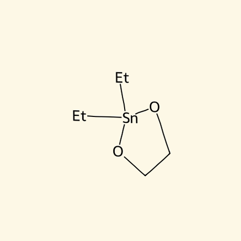 C[CH2][Sn]1([CH2]C)[O]CC[O]1